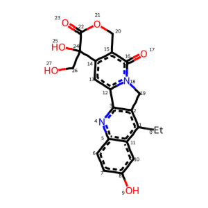 CCc1c2c(nc3ccc(O)cc13)-c1cc3c(c(=O)n1C2)COC(=O)C3(O)CO